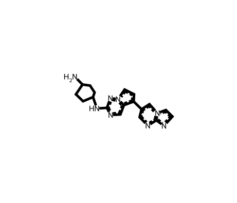 NC1CCC(Nc2ncc3c(-c4cnc5nccn5c4)ccn3n2)CC1